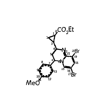 CCOC(=O)C1CC1C1CC(c2ccc(OC)cc2)N2C=C(Br)C=C(Br)C2=N1